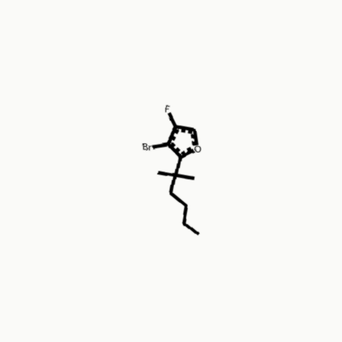 CCCCC(C)(C)c1occ(F)c1Br